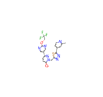 Cc1cc(-c2nnc(Cn3nc(-c4cnc(OCC(F)(F)F)nc4)ccc3=O)s2)ccn1